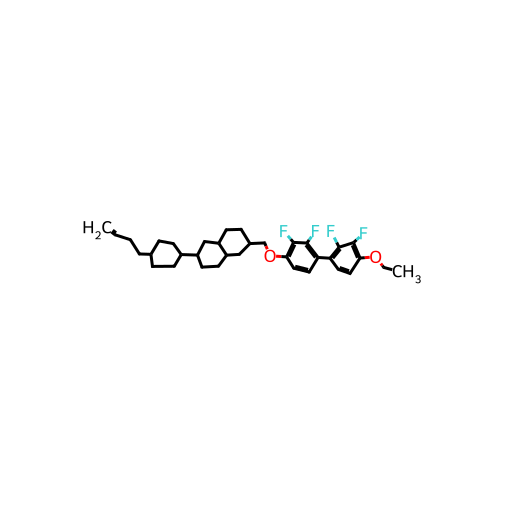 C=CCCC1CCC(C2CCC3CC(COc4ccc(-c5ccc(OCC)c(F)c5F)c(F)c4F)CCC3C2)CC1